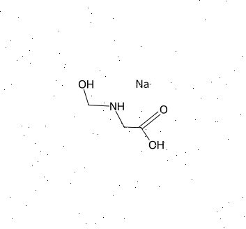 O=C(O)CNCO.[Na]